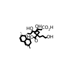 C[C@H]1C=C2C=C[C@H](C)[C@H](CC[C@@H](O)C[C@@H](O)CC(=O)O)[C@H]2[C@@H](OC(=O)C2(CCCO)CCC2)C1